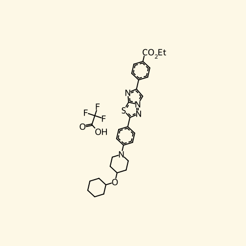 CCOC(=O)c1ccc(-c2cn3nc(-c4ccc(N5CCC(OC6CCCCC6)CC5)cc4)sc3n2)cc1.O=C(O)C(F)(F)F